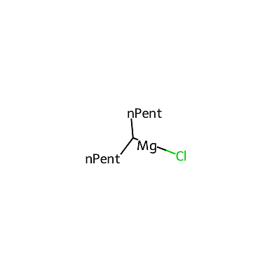 CCCCC[CH](CCCCC)[Mg][Cl]